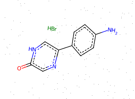 Br.Nc1ccc(-c2c[nH]c(=O)cn2)cc1